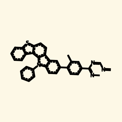 C=N/C=N\C(=N/C)c1ccc(-c2ccc3c(c2)c2ccc4sc5ccccc5c4c2n3-c2ccccc2)c(C)c1